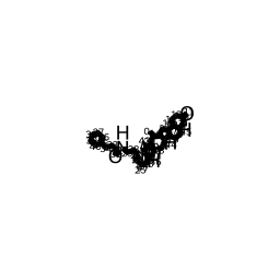 CC1=C2CC3[C@@H](CC[C@@H]4CC(=O)CC[C@]34C)C2CC[C@@]2(C1)O[C@@H]1C[C@H](C)CN(CCNC(=O)CCc3ccccc3)C1[C@H]2C